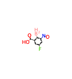 Bc1c(N=O)cc(F)cc1C(=O)O